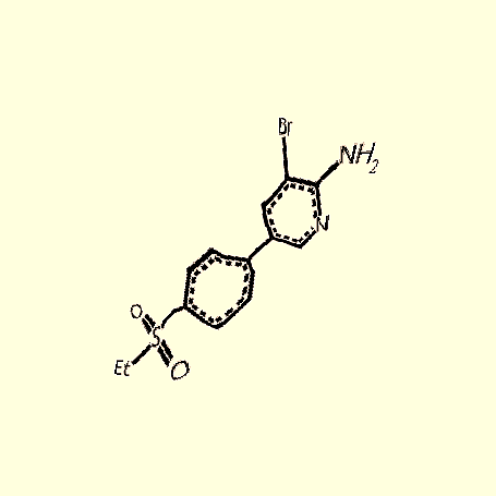 CCS(=O)(=O)c1ccc(-c2cnc(N)c(Br)c2)cc1